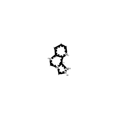 c1cnc2c(c1)ncn1cnnc21